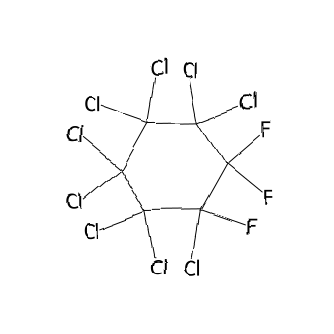 FC1(F)C(F)(Cl)C(Cl)(Cl)C(Cl)(Cl)C(Cl)(Cl)C1(Cl)Cl